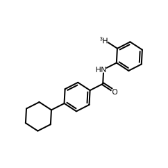 [3H]c1ccccc1NC(=O)c1ccc(C2CCCCC2)cc1